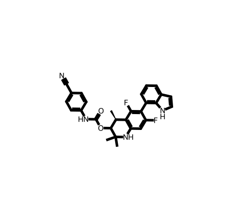 C[C@H]1c2c(cc(F)c(-c3cccc4cc[nH]c34)c2F)NC(C)(C)C1OC(=O)Nc1ccc(C#N)cc1